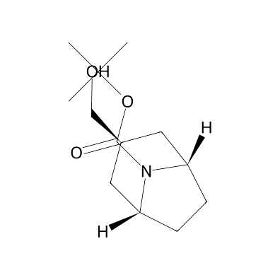 CC(C)(C)OC(=O)N1[C@@H]2CC[C@H]1C[C@H](CO)C2